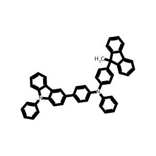 CC1(c2ccc(N(c3ccccc3)c3ccc(-c4ccc5c(c4)c4ccccc4n5-c4ccccc4)cc3)cc2)c2ccccc2-c2ccccc21